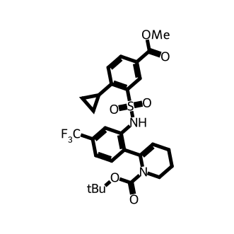 COC(=O)c1ccc(C2CC2)c(S(=O)(=O)Nc2cc(C(F)(F)F)ccc2C2=CCCCN2C(=O)OC(C)(C)C)c1